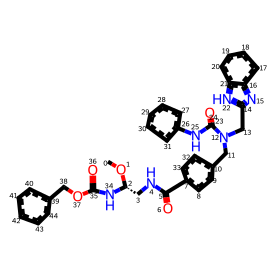 CO[C@H](CNC(=O)c1ccc(CN(Cc2nc3ccccc3[nH]2)C(=O)Nc2ccccc2)cc1)NC(=O)OCc1ccccc1